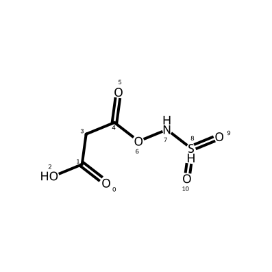 O=C(O)CC(=O)ON[SH](=O)=O